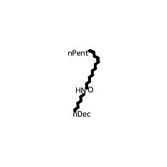 CCCCC/C=C\C/C=C\CCCCCCCC(=O)NCCCCCCCCCCCCCCCC